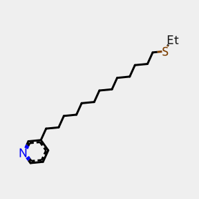 CCSCCCCCCCCCCCCCc1cccnc1